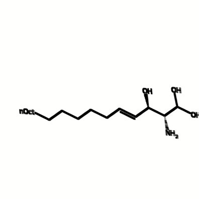 CCCCCCCCCCCCC/C=C/[C@@H](O)[C@@H](N)C(O)O